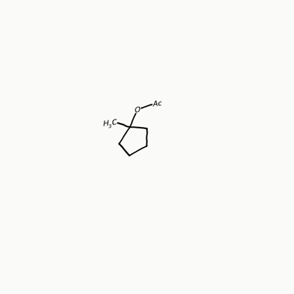 [CH2]C(=O)OC1(C)CCCC1